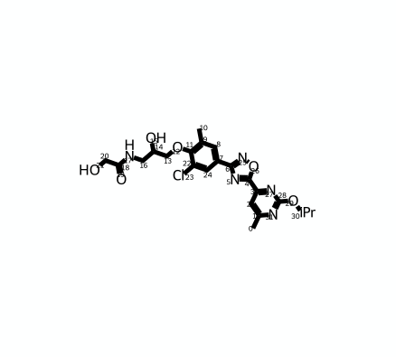 Cc1cc(-c2nc(-c3cc(C)c(OCC(O)CNC(=O)CO)c(Cl)c3)no2)nc(OC(C)C)n1